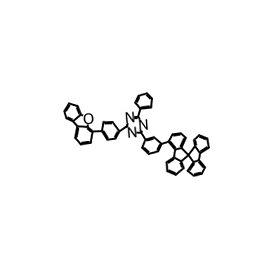 c1ccc(-c2nc(-c3ccc(-c4cccc5c4oc4ccccc45)cc3)nc(-c3cccc(-c4cccc5c4-c4ccccc4C54c5ccccc5-c5ccccc54)c3)n2)cc1